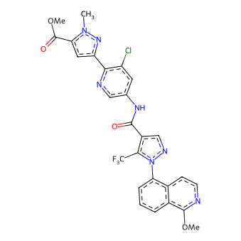 COC(=O)c1cc(-c2ncc(NC(=O)c3cnn(-c4cccc5c(OC)nccc45)c3C(F)(F)F)cc2Cl)nn1C